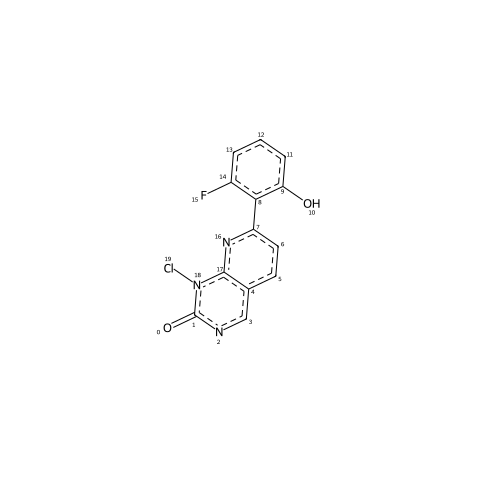 O=c1ncc2ccc(-c3c(O)cccc3F)nc2n1Cl